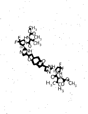 COC(=O)N[C@H](C(=O)N1CC(F)(F)C[C@H]1C1=NCC(c2cc3c(o2)CC2C=C(c4cnc([C@@H]5CC(F)(F)CN5C(=O)[C@@H](NC(=O)OC)C(C)C)[nH]4)OC2=C3)N1)C(C)C